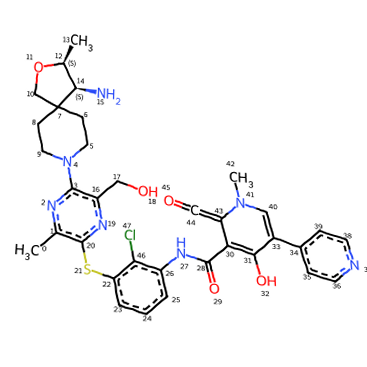 Cc1nc(N2CCC3(CC2)CO[C@@H](C)[C@H]3N)c(CO)nc1Sc1cccc(NC(=O)C2=C(O)C(c3ccncc3)=CN(C)C2=C=O)c1Cl